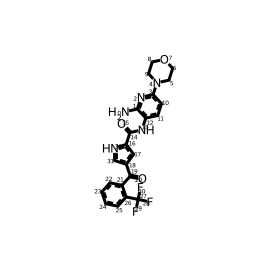 Nc1nc(N2CCOCC2)ccc1NC(=O)c1cc(C(=O)c2ccccc2C(F)(F)F)c[nH]1